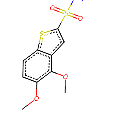 COc1ccc2sc(S(N)(=O)=O)cc2c1OC